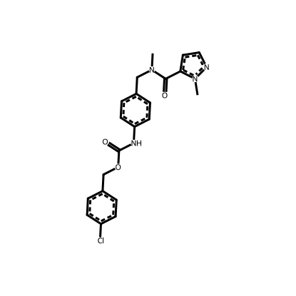 CN(Cc1ccc(NC(=O)OCc2ccc(Cl)cc2)cc1)C(=O)c1ccnn1C